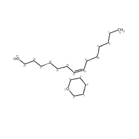 C1CCOCC1.CCCCCC/C=C\CCCCCCO